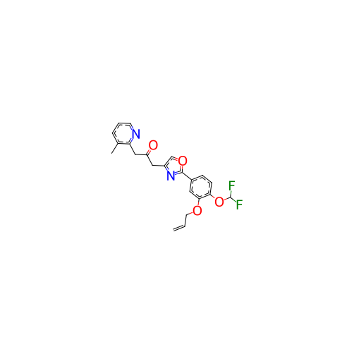 C=CCOc1cc(-c2nc(CC(=O)Cc3ncccc3C)co2)ccc1OC(F)F